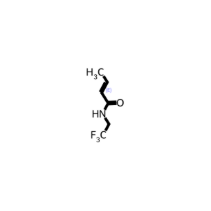 C/C=C/C(=O)NCC(F)(F)F